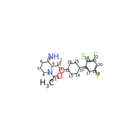 CC(=O)N1CCCC(N)C1COC1CCC(c2cc(F)cc(F)c2F)CC1